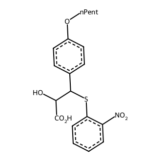 CCCCCOc1ccc(C(Sc2ccccc2[N+](=O)[O-])C(O)C(=O)O)cc1